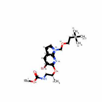 C[C@H](CNC(=O)OC(C)(C)C)Oc1nc2c(ccn2COCC[Si](C)(C)C)cc1Br